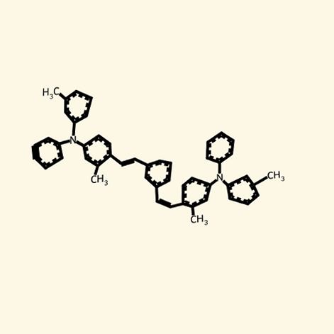 Cc1cccc(N(c2ccccc2)c2ccc(/C=C\c3cccc(/C=C/c4ccc(N(c5cc#ccc5)c5cccc(C)c5)cc4C)c3)c(C)c2)c1